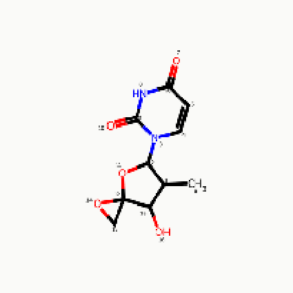 CC1C(n2ccc(=O)[nH]c2=O)OC2(CO2)C1O